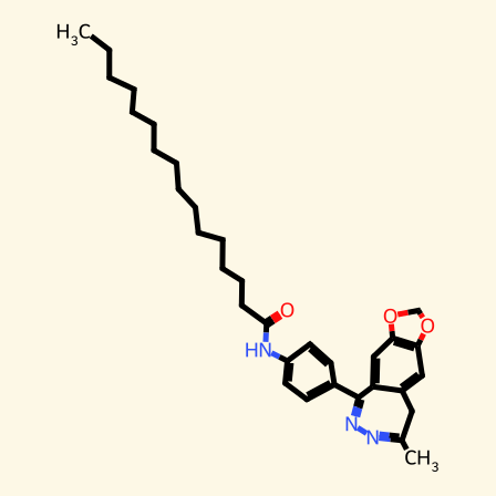 CCCCCCCCCCCCCCCC(=O)Nc1ccc(C2=NN=C(C)Cc3cc4c(cc32)OCO4)cc1